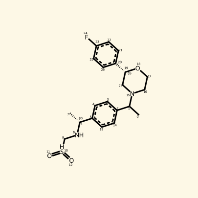 CC(c1ccc([C@@H](C)NC[SH](=O)=O)cc1)N1CCO[C@@H](c2ccc(F)cc2)C1